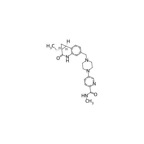 CC[C@]12C[C@H]1c1ccc(CN3CCN(c4ccc(C(=O)NC)nc4)CC3)cc1NC2=O